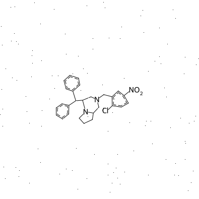 O=[N+]([O-])c1ccc(Cl)c(CN2CC3CCCN3C(C(c3ccccc3)c3ccccc3)C2)c1